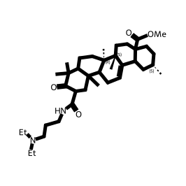 CCN(CC)CCCNC(=O)C1CC2(C)C(CC[C@]3(C)C2CC=C2C4C[C@@H](C)CCC4(C(=O)OC)CC[C@]23C)C(C)(C)C1=O